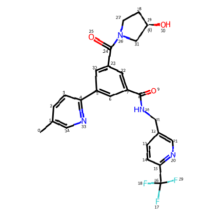 Cc1ccc(-c2cc(C(=O)NCc3ccc(C(F)(F)F)nc3)cc(C(=O)N3CC[C@@H](O)C3)c2)nc1